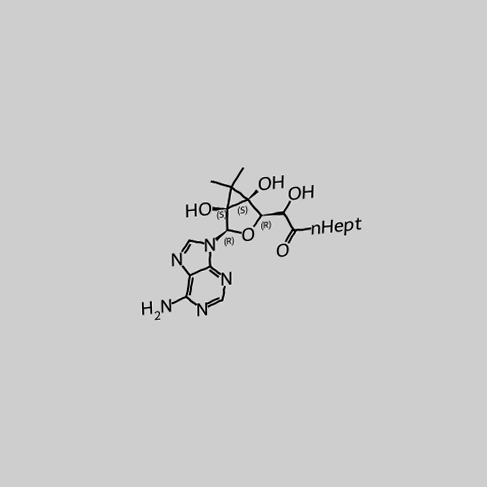 CCCCCCCC(=O)C(O)[C@H]1O[C@@H](n2cnc3c(N)ncnc32)[C@]2(O)C(C)(C)[C@]12O